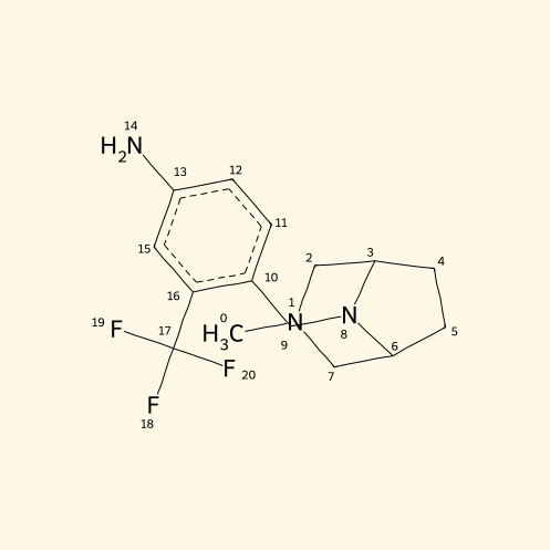 CN1CC2CCC(C1)N2Cc1ccc(N)cc1C(F)(F)F